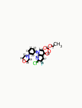 CCOC(=O)Oc1cn(-c2cccc(N3CCOCC3)c2)c2nc(Cl)c(F)cc2c1=O